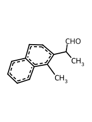 Cc1c(C(C)C=O)ccc2ccccc12